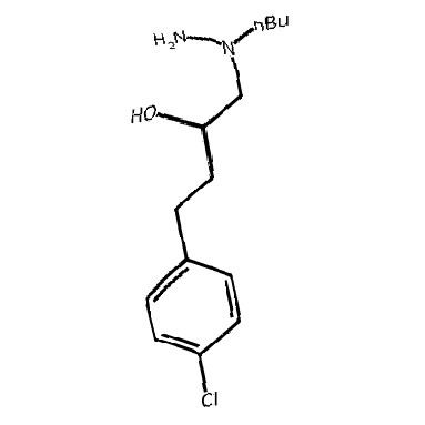 CCCCN(N)CC(O)CCc1ccc(Cl)cc1